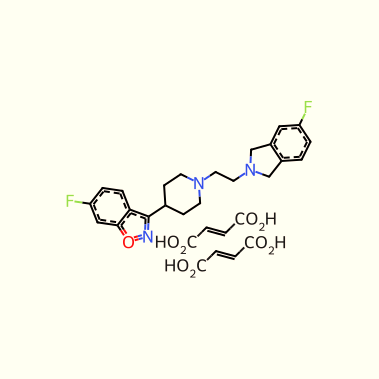 Fc1ccc2c(c1)CN(CCN1CCC(c3noc4cc(F)ccc34)CC1)C2.O=C(O)C=CC(=O)O.O=C(O)C=CC(=O)O